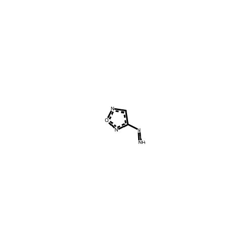 N=Nc1cnon1